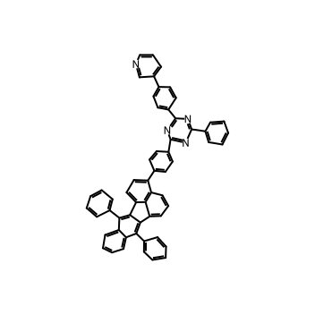 c1ccc(-c2nc(-c3ccc(-c4cccnc4)cc3)nc(-c3ccc(-c4ccc5c6c(cccc46)-c4c-5c(-c5ccccc5)c5ccccc5c4-c4ccccc4)cc3)n2)cc1